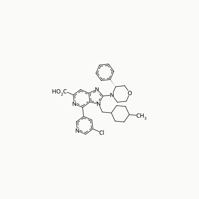 CC1CCC(Cn2c(N3CCOC[C@H]3c3ccccc3)nc3cc(C(=O)O)nc(-c4cncc(Cl)c4)c32)CC1